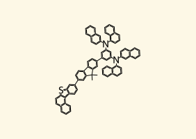 CC1(C)c2cc(-c3cc(N(c4ccc5ccccc5c4)c4cccc5ccccc45)cc(N(c4ccc5ccccc5c4)c4cccc5ccccc45)c3)ccc2-c2ccc(-c3ccc4c(c3)sc3ccc5ccccc5c34)cc21